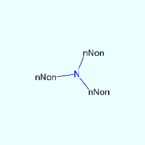 CCCCCCCCCN(CCCCCCCCC)CCCCCCCCC